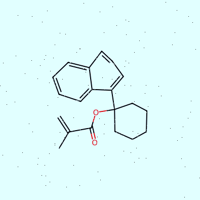 C=C(C)C(=O)OC1(c2cccc3ccccc23)CCCCC1